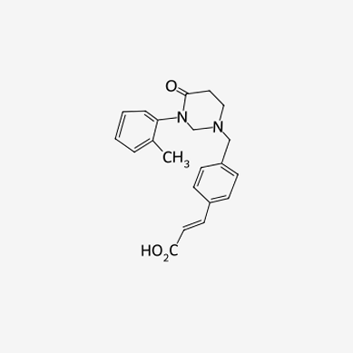 Cc1ccccc1N1CN(Cc2ccc(C=CC(=O)O)cc2)CCC1=O